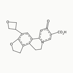 O=C(O)c1cn2c(cc1=O)-c1cc(C3COC3)c3c(c1CC2)CCO3